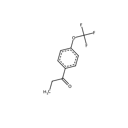 CCC(=O)c1ccc(OC(F)(F)F)cc1